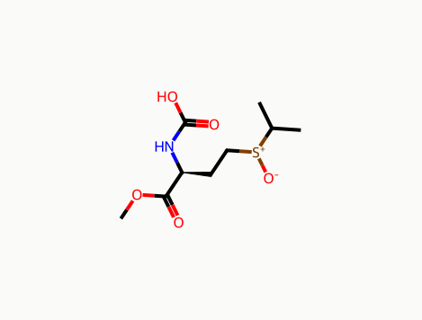 COC(=O)[C@H](CC[S+]([O-])C(C)C)NC(=O)O